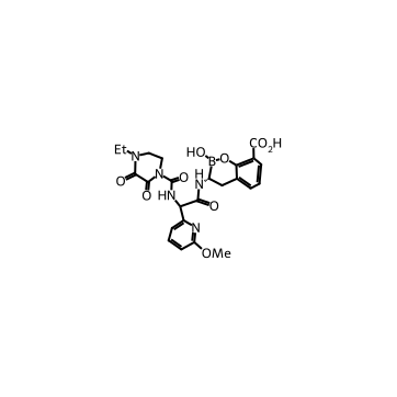 CCN1CCN(C(=O)NC(C(=O)N[C@H]2Cc3cccc(C(=O)O)c3OB2O)c2cccc(OC)n2)C(=O)C1=O